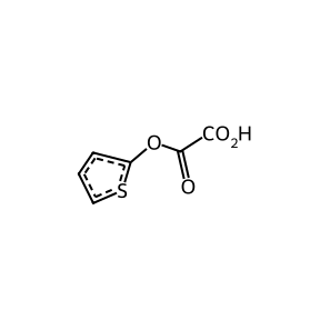 O=C(O)C(=O)Oc1cccs1